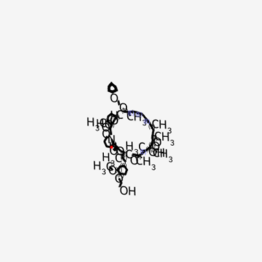 CO[C@@H]1C[C@H](C[C@@H](C)[C@@H]2CC(=O)[C@H](C)/C=C(\C)[C@@H](O)[C@@H](OC)C(=O)[C@H](C)C[C@H](C)/C=C/C=C/C=C(\C)[C@@H](OCCOc3ccccc3)C[C@@H]3CC[C@@H](C)[C@@](O)(O3)C(=O)C(=O)N3CCCC[C@H]3C(=O)O2)CC[C@H]1OCCO